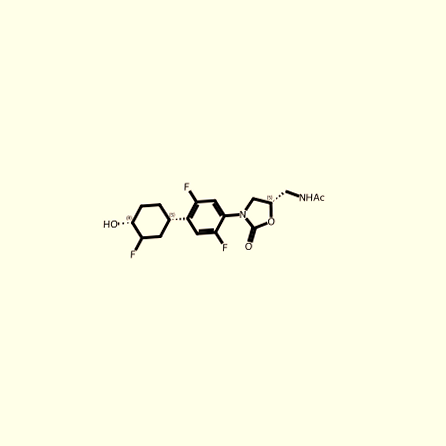 CC(=O)NC[C@H]1CN(c2cc(F)c([C@H]3CC[C@@H](O)C(F)C3)cc2F)C(=O)O1